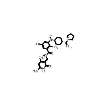 C=C([C@H]1CC[C@H](N(CC)c2cc(Cl)cc(C(=O)NCc3c(C)cc(C)[nH]c3=O)c2C)CC1)N1CCCC1